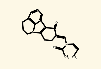 C/C=C\N(/C=C1\CCc2c(c3cccc4c3n2CCC4)C1=O)C(C)=N